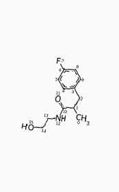 CC(Cc1ccc(F)cc1)C(=O)NCCO